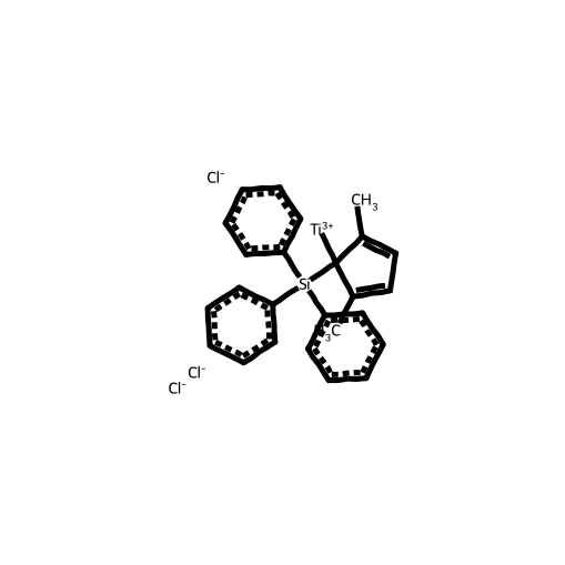 CC1=CC=C(C)[C]1([Ti+3])[Si](c1ccccc1)(c1ccccc1)c1ccccc1.[Cl-].[Cl-].[Cl-]